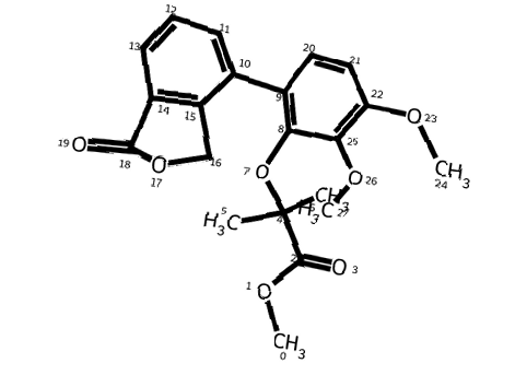 COC(=O)C(C)(C)Oc1c(-c2cccc3c2COC3=O)ccc(OC)c1OC